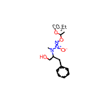 CCOC(=O)OC(C)ON=[N+]([O-])N(C)C(CO)Cc1ccccc1